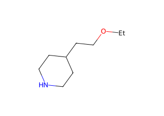 [CH2]COCCC1CCNCC1